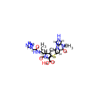 C[C@@H](NC(=O)Cn1cnnn1)[C@H]1C(=O)N2C(C(=O)O)=C(S[C@@H]3CN[C@H](C(=O)N(C)[C@@H]4CCNC4)C3)[C@H](C)[C@H]12